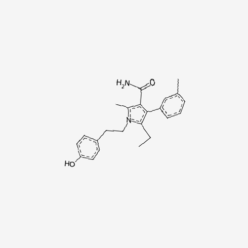 CCc1c(-c2cccc(C)c2)c(C(N)=O)c(C)n1CCc1ccc(O)cc1